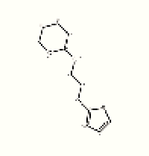 c1csc(CCCOC2CCCCO2)c1